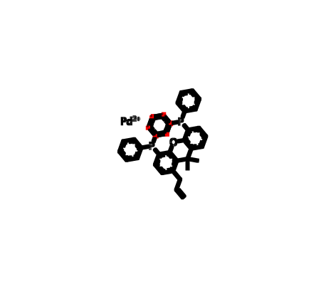 C=CCc1ccc(P(c2ccccc2)c2ccccc2)c2c1C(C)(C)c1cccc(P(c3ccccc3)c3ccccc3)c1O2.[Pd+2]